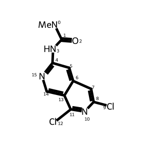 CNC(=O)Nc1cc2cc(Cl)nc(Cl)c2cn1